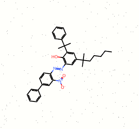 CCCCCC(C)(C)c1cc(N=Nc2ccc(-c3ccccc3)cc2[N+](=O)[O-])c(O)c(C(C)(C)c2ccccc2)c1